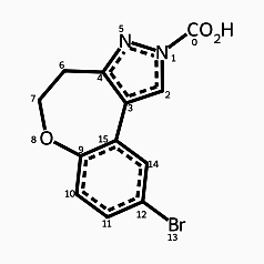 O=C(O)n1cc2c(n1)CCOc1ccc(Br)cc1-2